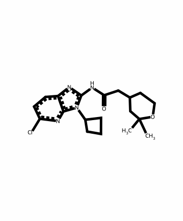 CC1(C)CC(CC(=O)Nc2nc3ccc(Cl)nc3n2C2CCC2)CCO1